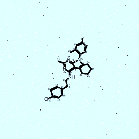 Cc1ccc(-n2c3c(c4c(NCCc5ccc(Cl)cc5)nc(C)nc42)CCCC3)c(C)c1